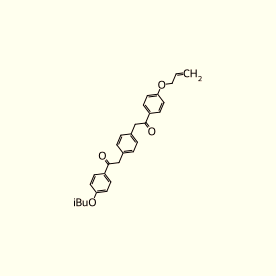 C=CCOc1ccc(C(=O)Cc2ccc(CC(=O)c3ccc(OCC(C)C)cc3)cc2)cc1